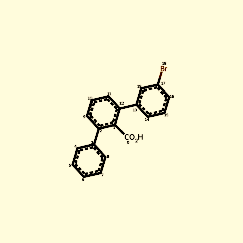 O=C(O)c1c(-c2ccccc2)cccc1-c1cccc(Br)c1